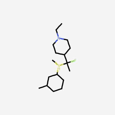 CCN1CCC(C(C)(F)[SH](C)C2CCCC(C)C2)CC1